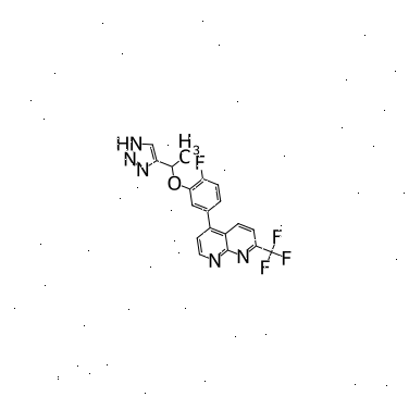 CC(Oc1cc(-c2ccnc3nc(C(F)(F)F)ccc23)ccc1F)c1c[nH]nn1